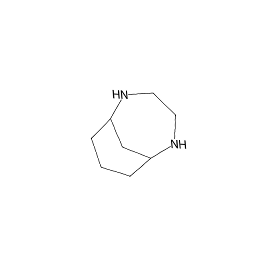 C1CC2CC(C1)NCCN2